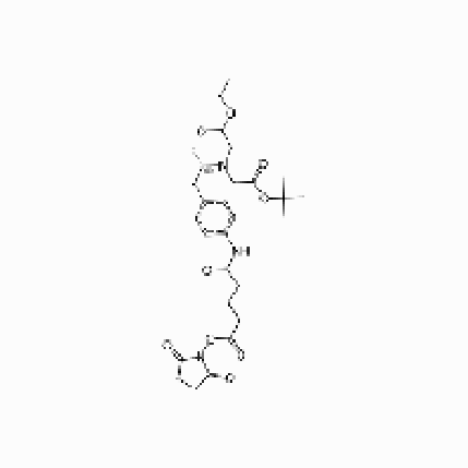 CCOC(=O)CN(CC(=O)OC(C)(C)C)[C@@H](C)Cc1ccc(NC(=O)CCCC(=O)ON2C(=O)CCC2=O)cc1